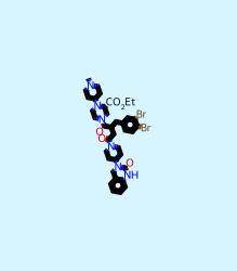 CCOC(=O)C1CN(C(=O)C(CC(=O)N2CCC(N3Cc4ccccc4NC3=O)CC2)Cc2ccc(Br)c(Br)c2)CCN1C1CCN(C)CC1